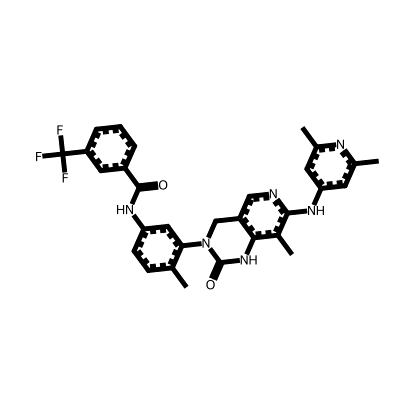 Cc1cc(Nc2ncc3c(c2C)NC(=O)N(c2cc(NC(=O)c4cccc(C(F)(F)F)c4)ccc2C)C3)cc(C)n1